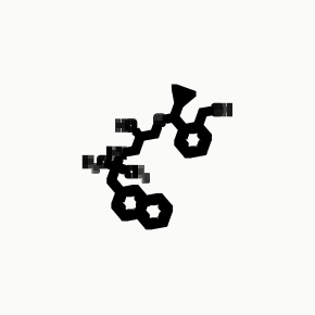 CC(C)(Cc1ccc2ccccc2c1)NC[C@@H](O)COC(c1ccccc1CO)C1CC1